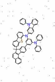 CC1(C)c2cc(-c3cc(N(c4ccccc4)c4ccccc4)cc(N(c4ccc5c6ccccc6n(-c6ccccc6)c5c4)c4cccc5c4sc4ccccc45)c3)ccc2-c2c1ccc1ccccc21